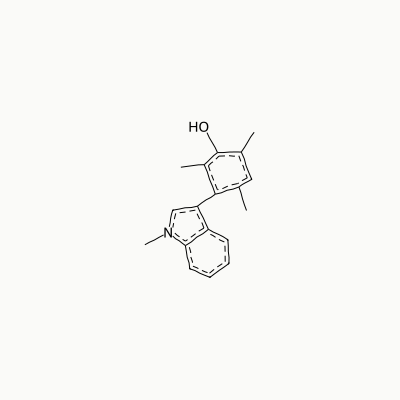 Cc1cc(C)c(-c2cn(C)c3ccccc23)c(C)c1O